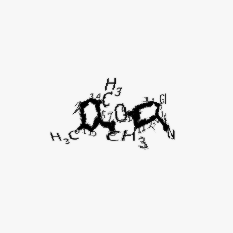 Cc1ccc(C)c(C(C)Oc2ccc(C#N)c(Cl)c2)c1